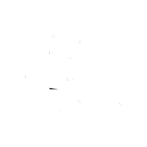 COC[C@@H](NC(=O)OC(C)(C)C)C(=O)N1CC(C#N)C1